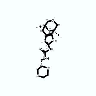 O=C(NC[C@H]1COCCO1)Nc1nc2c(s1)[C@@H]1COC[C@H](C2)N1